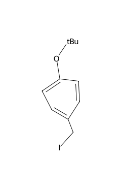 CC(C)(C)Oc1ccc(CI)cc1